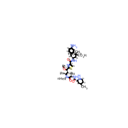 CCCCCCN(C(=O)[C@@H](NC(=O)[C@H]1C[C@H](C)CCN1)[C@@H](C)CC)[C@H](C[C@@H](OCC)c1nc(C(=O)N[C@@H](Cc2ccc(N)cc2)CC(C)(C)C(=O)O)cs1)C(C)C